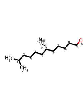 CC(C)CCCCCCCCCCO.[Na].[Na]